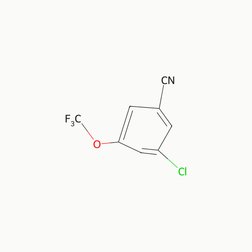 N#Cc1cc(Cl)cc(OC(F)(F)F)c1